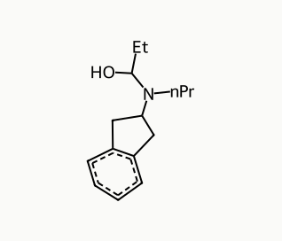 CCCN(C(O)CC)C1Cc2ccccc2C1